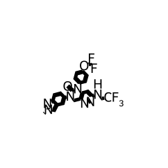 Cn1cc2cc(N3Cc4nnc(NCC(F)(F)F)cc4N(c4ccc(OC(F)F)cc4)C3=O)ccc2n1